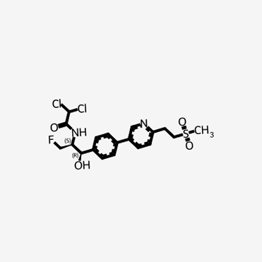 CS(=O)(=O)CCc1ccc(-c2ccc([C@@H](O)[C@@H](CF)NC(=O)C(Cl)Cl)cc2)cn1